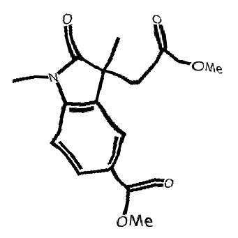 COC(=O)CC1(C)C(=O)N(C)c2ccc(C(=O)OC)cc21